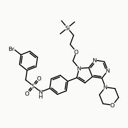 C[Si](C)(C)CCOCn1c(-c2ccc(NS(=O)(=O)Cc3cccc(Br)c3)cc2)cc2c(N3CCOCC3)ncnc21